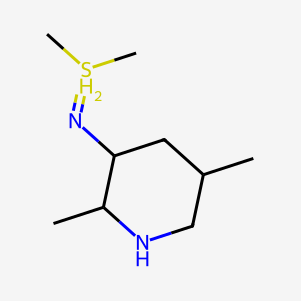 CC1CNC(C)C(N=[SH2](C)C)C1